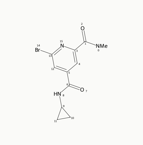 CNC(=O)c1cc(C(=O)NC2CC2)cc(Br)n1